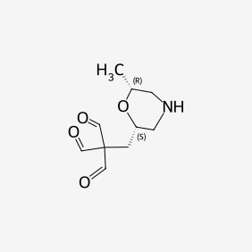 C[C@@H]1CNC[C@H](CC(C=O)(C=O)C=O)O1